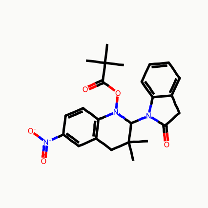 CC(C)(C)C(=O)ON1c2ccc([N+](=O)[O-])cc2CC(C)(C)C1N1C(=O)Cc2ccccc21